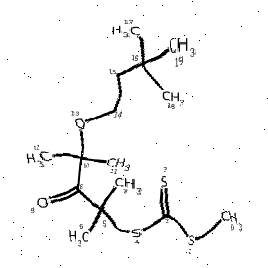 CSC(=S)SC(C)(C)C(=O)C(C)(C)OCCC(C)(C)C